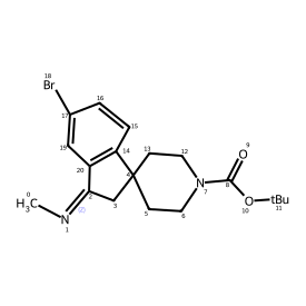 C/N=C1/CC2(CCN(C(=O)OC(C)(C)C)CC2)c2ccc(Br)cc21